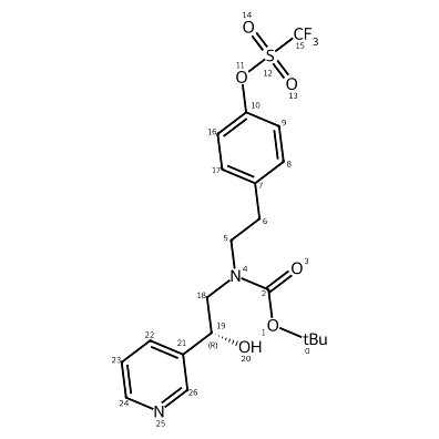 CC(C)(C)OC(=O)N(CCc1ccc(OS(=O)(=O)C(F)(F)F)cc1)C[C@H](O)c1cccnc1